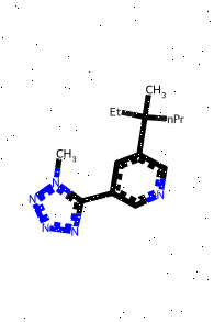 CCCC(C)(CC)c1cncc(-c2nnnn2C)c1